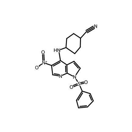 N#CC1CCC(Nc2c([N+](=O)[O-])cnc3c2ccn3S(=O)(=O)c2ccccc2)CC1